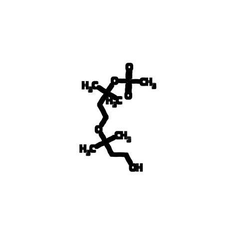 CC(C)(CCO)OCCC(C)(C)OS(C)(=O)=O